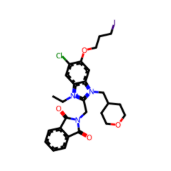 CC[n+]1c(CN2C(=O)c3ccccc3C2=O)n(CC2CCOCC2)c2cc(OCCCI)c(Cl)cc21